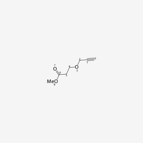 C#CCOCCC(=O)OC